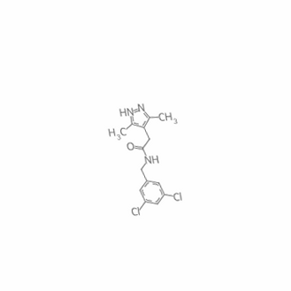 Cc1n[nH]c(C)c1CC(=O)NCc1cc(Cl)cc(Cl)c1